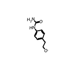 NC(=O)Nc1ccc(CC[O])cc1